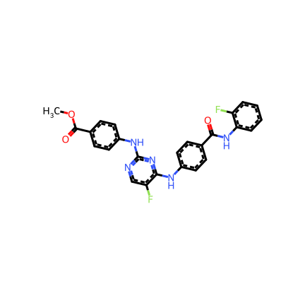 COC(=O)c1ccc(Nc2ncc(F)c(Nc3ccc(C(=O)Nc4ccccc4F)cc3)n2)cc1